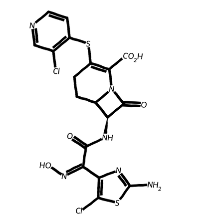 Nc1nc(/C(=N/O)C(=O)N[C@@H]2C(=O)N3C(C(=O)O)=C(Sc4ccncc4Cl)CCC23)c(Cl)s1